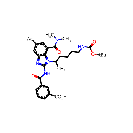 CC(=O)c1cc(C(=O)N(C)C)c2c(c1)nc(NC(=O)c1cccc(C(=O)O)c1)n2C(C)CCCCNC(=O)OC(C)(C)C